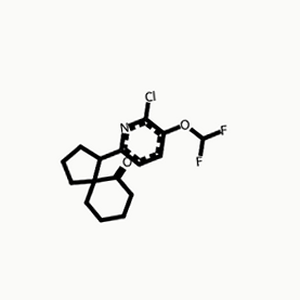 O=C1CCCCC12CCCC2c1ccc(OC(F)F)c(Cl)n1